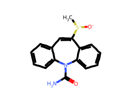 C[S+]([O-])C1=Cc2ccccc2N(C(N)=O)c2ccccc21